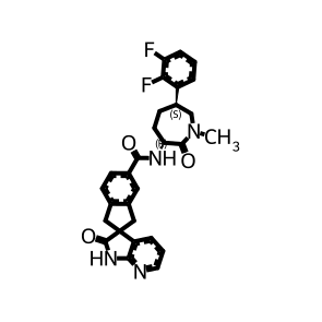 CN1C[C@H](c2cccc(F)c2F)CC[C@@H](NC(=O)c2ccc3c(c2)CC2(C3)C(=O)Nc3ncccc32)C1=O